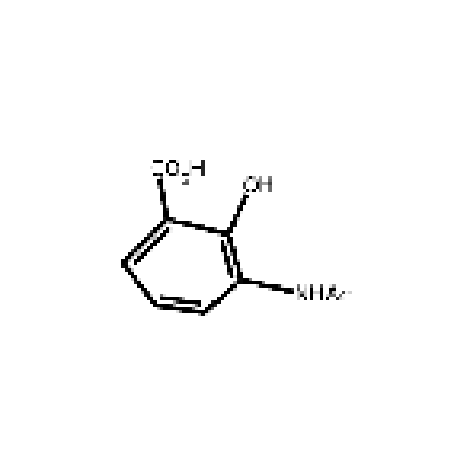 CC(=O)Nc1cccc(C(=O)O)c1O